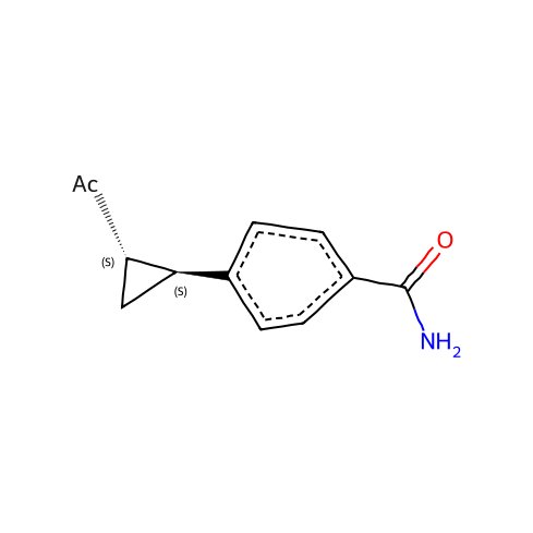 CC(=O)[C@H]1C[C@@H]1c1ccc(C(N)=O)cc1